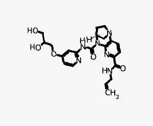 C=CCNC(=O)c1ccc2c(n1)N(C(=O)Nc1cc(OCC(O)CO)ccn1)[C@H]1CCN2C1